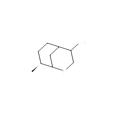 CCCC1CPC2CC1CC[C@@H]2C